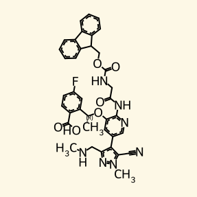 CNCc1nn(C)c(C#N)c1-c1cnc(NC(=O)CNC(=O)OCC2c3ccccc3-c3ccccc32)c(O[C@H](C)c2cc(F)ccc2C(=O)O)c1